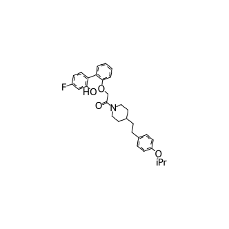 CC(C)Oc1ccc(CCC2CCN(C(=O)COc3ccccc3-c3ccc(F)cc3O)CC2)cc1